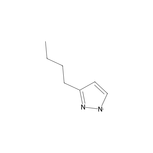 CCCCC1=N[N]C=C1